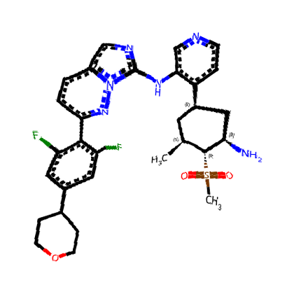 C[C@H]1C[C@@H](c2ccncc2Nc2ncc3ccc(-c4c(F)cc(C5CCOCC5)cc4F)nn23)C[C@@H](N)[C@@H]1S(C)(=O)=O